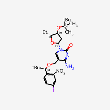 CC[C@H]1O[C@@H](n2cc(CO[C@@H](c3ccc(I)cc3[N+](=O)[O-])C(C)(C)C)c(N)nc2=O)C[C@H]1O[Si](C)(C)C(C)(C)C